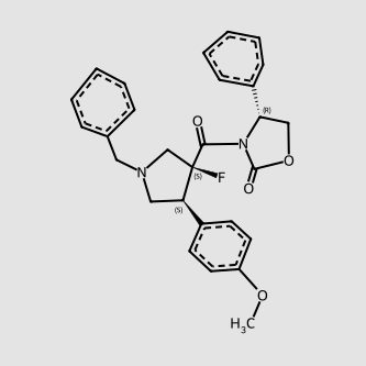 COc1ccc([C@H]2CN(Cc3ccccc3)C[C@]2(F)C(=O)N2C(=O)OC[C@H]2c2ccccc2)cc1